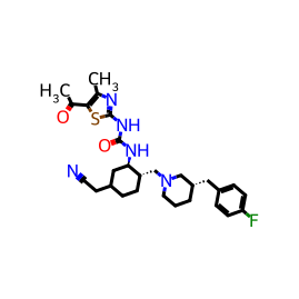 CC(=O)c1sc(NC(=O)N[C@@H]2CC(CC#N)CC[C@H]2CN2CCC[C@@H](Cc3ccc(F)cc3)C2)nc1C